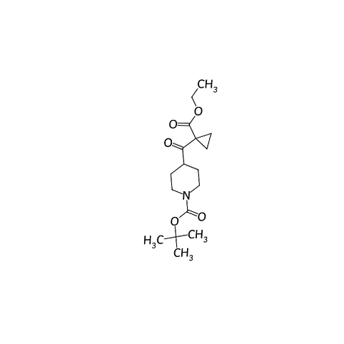 CCOC(=O)C1(C(=O)C2CCN(C(=O)OC(C)(C)C)CC2)CC1